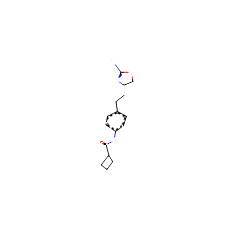 NC1=N[C@@H](CCc2ccc(NC(=O)C3CCC3)cc2)CO1